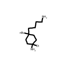 CCCCC1(CCCCN)CCC(N)(CC)CC1